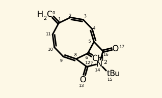 C=c1cccc2c(=C)c(ccc1)C(=O)N(C(C)(C)C)C2=O